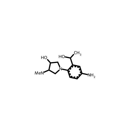 CNC1CN(c2ccc(N)cc2C(C)O)CC1O